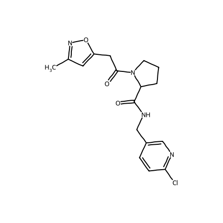 Cc1cc(CC(=O)N2CCCC2C(=O)NCc2ccc(Cl)nc2)on1